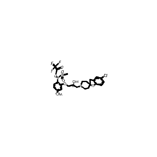 CS(=O)(=O)N(OC(=O)C(F)(F)F)c1ccc(O)cc1OC[C@H](O)CN1CCC2(CC1)Cc1cc(Cl)ccc1O2